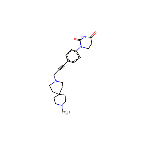 O=C1CCN(c2ccc(C#CCN3CCC4(CC3)CCN(C(=O)O)CC4)cc2)C(=O)N1